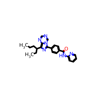 CCCC(CC)c1nc(-c2ccc(C(=O)Nc3ccccn3)cc2)n2cncnc12